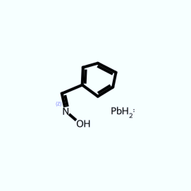 O/N=C\c1ccccc1.[PbH2]